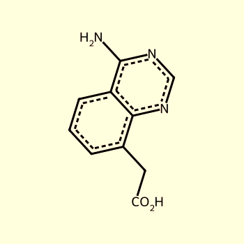 Nc1ncnc2c(CC(=O)O)cccc12